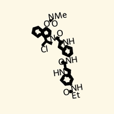 CCC(=O)Nc1ccc2[nH]c(C(=O)Nc3ccc4[nH]c(C(=O)N5CC(CCl)c6c5cc(OC(=O)NC)c5ccccc65)cc4c3)cc2c1